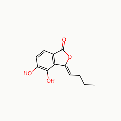 CCCC=C1OC(=O)c2ccc(O)c(O)c21